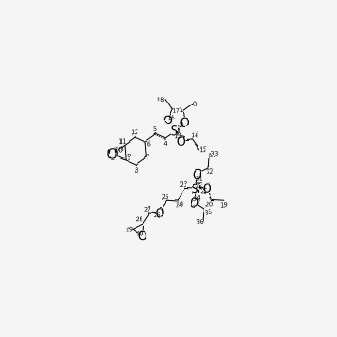 CCO[Si](CCC1CCC2OC2C1)(OCC)OCC.CCO[Si](CCCOCC1CO1)(OCC)OCC